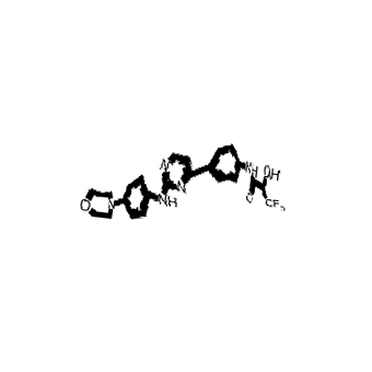 O=C(Nc1ccc(-c2ccnc(Nc3ccc(N4CCOCC4)cc3)n2)cc1)C(O)C(F)(F)F